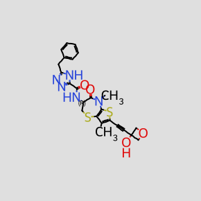 Cc1c(C#CC2(O)COC2)sc2c1SC[C@H](NC(=O)c1nnc(Cc3ccccc3)[nH]1)C(=O)N2C